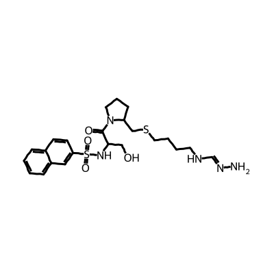 NN=CNCCCCSCC1CCCN1C(=O)C(CO)NS(=O)(=O)c1ccc2ccccc2c1